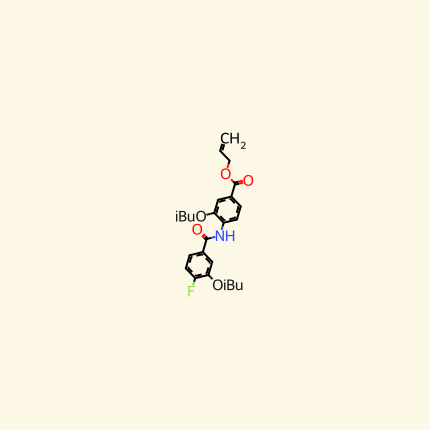 C=CCOC(=O)c1ccc(NC(=O)c2ccc(F)c(OCC(C)C)c2)c(OCC(C)C)c1